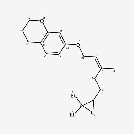 CCC1(CC)OC1CCC(C)=CCOc1ccc2c(c1)OCCC2